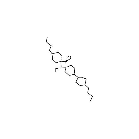 CCCCC1CCC(C2CC[C@]3(CC2)C(=O)[C@@]2(CCC(CCCC)CC2)[C@H]3F)CC1